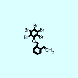 C=Cc1ccccc1COc1c(Br)c(Br)c(Br)c(Br)c1Br